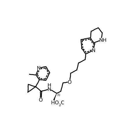 Cc1ncccc1C1(C(=O)N[C@@H](CCOCCCCc2ccc3c(n2)NCCC3)C(=O)O)CC1